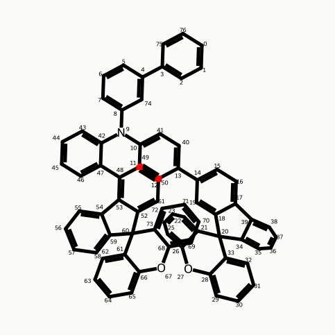 c1ccc(-c2cccc(N(c3ccc(-c4ccc5c(c4)C4(c6ccccc6Oc6ccccc64)c4ccccc4-5)cc3)c3ccccc3-c3cccc4c3-c3ccccc3C43c4ccccc4Oc4ccccc43)c2)cc1